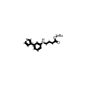 CCCCOC(=O)CCCNc1cccc(-c2ccsc2)c1